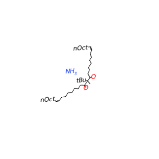 CCCCCCCC/C=C\CCCCCCCC(=O)C(C)(C(=O)CCCCCCC/C=C\CCCCCCCC)C(C)(C)C.N